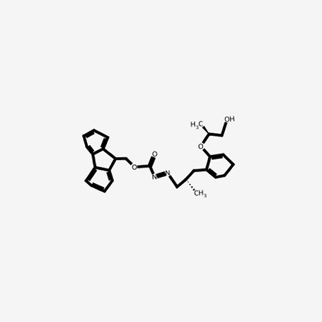 C[C@H](CN=NC(=O)OCC1c2ccccc2-c2ccccc21)CC1=CCCC=C1O[C@@H](C)CO